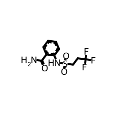 NC(=O)c1ccccc1NS(=O)(=O)CCC(F)(F)F